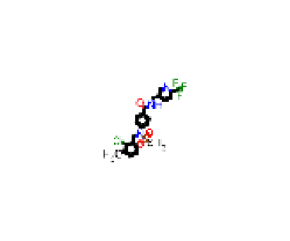 Cc1cccc(CN(c2ccc(C(=O)NCc3ccc(C(F)(F)F)nc3)cc2)S(C)(=O)=O)c1Cl